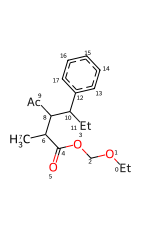 CCOCOC(=O)C(C)C(C(C)=O)C(CC)c1ccccc1